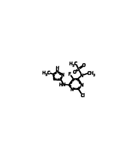 Cc1cc(Nc2nc(Cl)nc(N(C)S(C)(=O)=O)c2F)n[nH]1